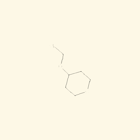 ClCOC1CCOCC1